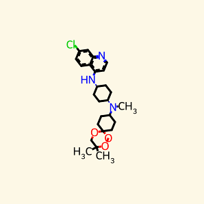 CN(C1CCC2(CC1)OCC(C)(C)OO2)[C@H]1CC[C@@H](Nc2ccnc3cc(Cl)ccc23)CC1